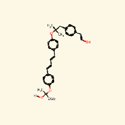 CCOC(C)(OC)Oc1ccc(C=CC=Cc2ccc(OC(C)(C)Cc3ccc(C=CO)cc3)cc2)cc1